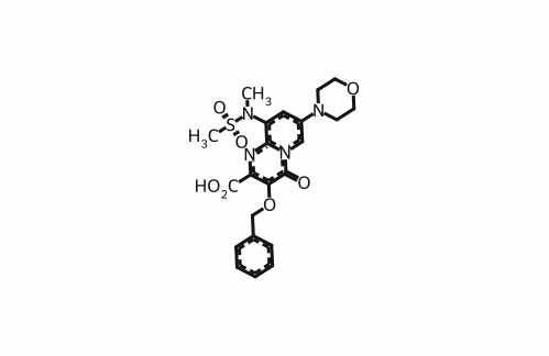 CN(c1cc(N2CCOCC2)cn2c(=O)c(OCc3ccccc3)c(C(=O)O)nc12)S(C)(=O)=O